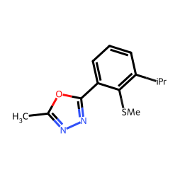 CSc1c(-c2nnc(C)o2)cccc1C(C)C